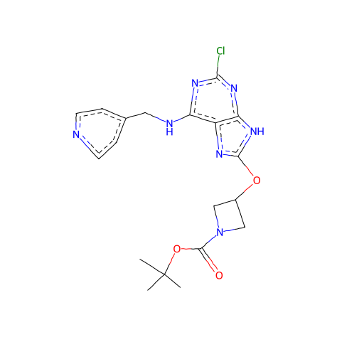 CC(C)(C)OC(=O)N1CC(Oc2nc3c(NCc4ccncc4)nc(Cl)nc3[nH]2)C1